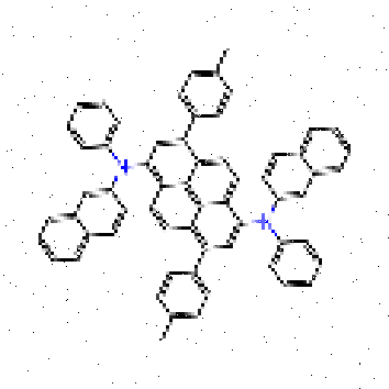 Cc1ccc(-c2cc(N(c3ccccc3)c3ccc4ccccc4c3)c3ccc4c(-c5ccc(C)cc5)cc(N(c5ccccc5)c5ccc6ccccc6c5)c5ccc2c3c45)cc1